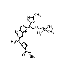 Cc1nnc(N(COCC[Si](C)(C)C)c2ccc3ncc(N(C)c4cnn(C(=O)OC(C)(C)C)c4)cc3n2)s1